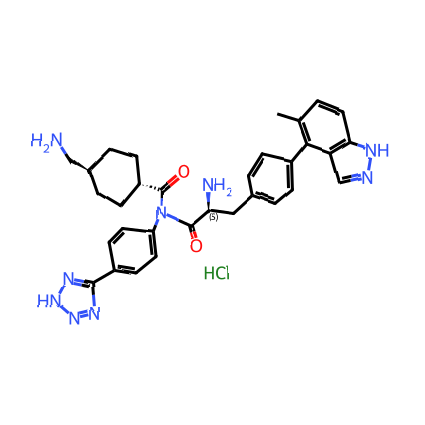 Cc1ccc2[nH]ncc2c1-c1ccc(C[C@H](N)C(=O)N(c2ccc(-c3nn[nH]n3)cc2)C(=O)[C@H]2CC[C@H](CN)CC2)cc1.Cl